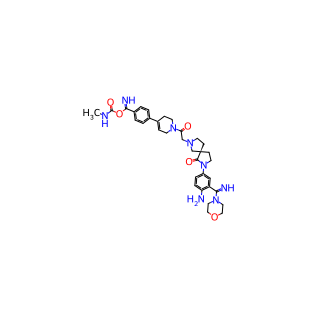 CNC(=O)OC(=N)c1ccc(C2=CCN(C(=O)CN3CC[C@]4(CCN(c5ccc(N)c(C(=N)N6CCOCC6)c5)C4=O)C3)CC2)cc1